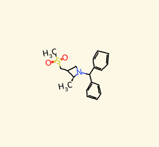 C[C@H]1C(CS(C)(=O)=O)CN1C(c1ccccc1)c1ccccc1